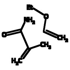 C=C(C)C(N)=O.C=COCC